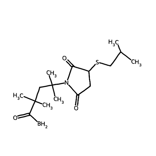 BC(=O)C(C)(C)CC(C)(C)N1C(=O)CC(SCC(C)C)C1=O